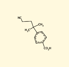 CC(C)(CCC#N)c1ccc(C(=O)O)cc1